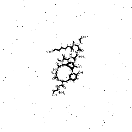 CCCCCCCCCCCCCCCC(=O)N(C)[C@H](CCO)C(=O)N[C@H](N)C(=O)NCC(=O)N(C)[C@@H]1C(=O)N[C@@H](C)C(=O)N[C@H](C(=O)N[C@H](N)CO)Cc2ccc(O)c(c2)-c2cc1ccc2O